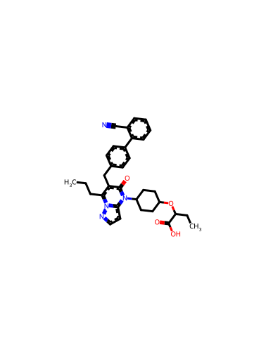 CCCc1c(Cc2ccc(-c3ccccc3C#N)cc2)c(=O)n(C2CCC(OC(CC)C(=O)O)CC2)c2ccnn12